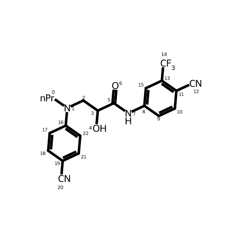 CCCN(CC(O)C(=O)Nc1ccc(C#N)c(C(F)(F)F)c1)c1ccc(C#N)cc1